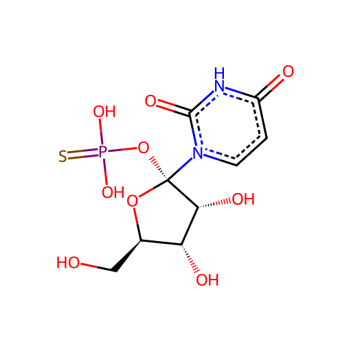 O=c1ccn([C@]2(OP(O)(O)=S)O[C@H](CO)[C@@H](O)[C@H]2O)c(=O)[nH]1